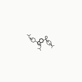 CC(C)CN1CCC(c2cn(CC(C)C)c3cc(C(=O)N4CCN(C(C)C)CC4)ccc23)CC1